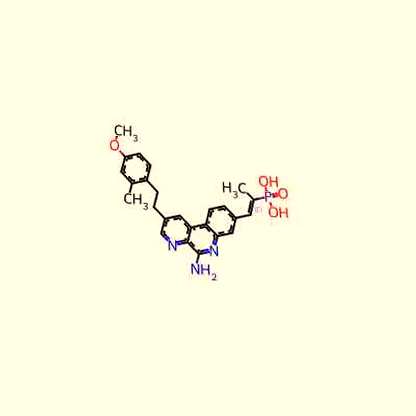 COc1ccc(CCc2cnc3c(N)nc4cc(/C=C(\C)P(=O)(O)O)ccc4c3c2)c(C)c1